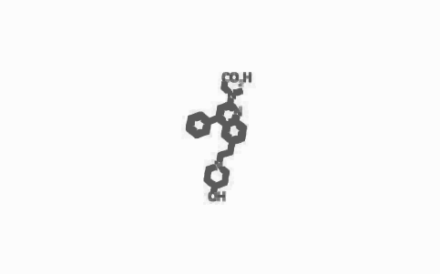 CN(CC(=O)O)c1cc(-c2ccccc2)c2cc(CCN3CCC(O)CC3)ccc2n1